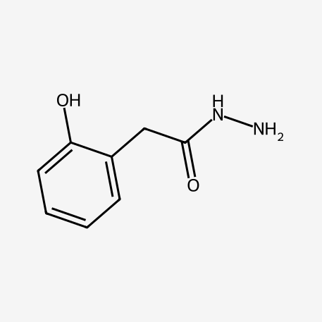 NNC(=O)Cc1ccccc1O